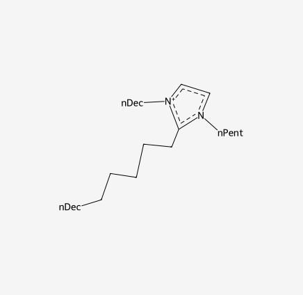 CCCCCCCCCCCCCCCc1n(CCCCC)cc[n+]1CCCCCCCCCC